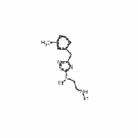 CCNCCN(CC)c1nc(Cc2cccc(C)c2)ns1